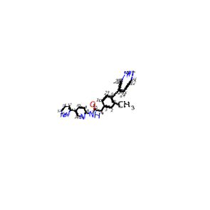 Cc1cc(CC(=O)Nc2ccc(-c3cccnn3)cn2)ccc1-c1ccnnc1